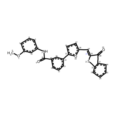 COc1cccc(NC(=O)c2cccc(-c3ccc(/C=C4\Sc5ccccc5C4=O)o3)c2)c1